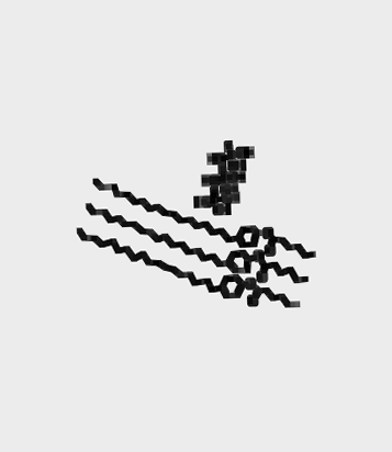 CCCCCCCCCCCCCCCCCCc1ccc(OC(=O)CCCCC)cc1.CCCCCCCCCCCCCCCCCCc1ccc(OC(=O)CCCCC)cc1.CCCCCCCCCCCCCCCCCCc1ccc(OC(=O)CCCCC)cc1.OP(O)(O)=S.OP(O)(O)=S.OP(O)(O)=S